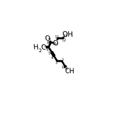 C#CCCC#CC(=C)C(=O)OCCO